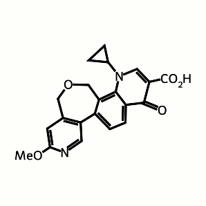 COc1cc2c(cn1)-c1ccc3c(=O)c(C(=O)O)cn(C4CC4)c3c1COC2